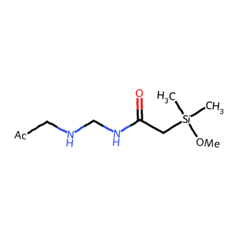 CO[Si](C)(C)CC(=O)NCNCC(C)=O